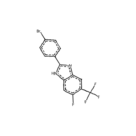 Fc1cc2[nH]c(-c3ccc(Br)cc3)nc2cc1C(F)(F)F